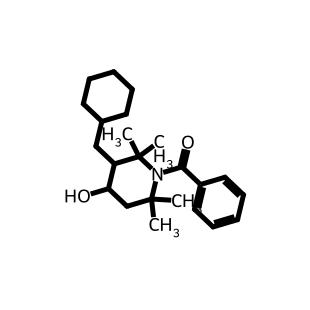 CC1(C)CC(O)C(CC2CCCCC2)C(C)(C)N1C(=O)c1ccccc1